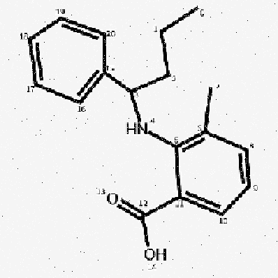 CCCC(Nc1c(C)cccc1C(=O)O)c1ccccc1